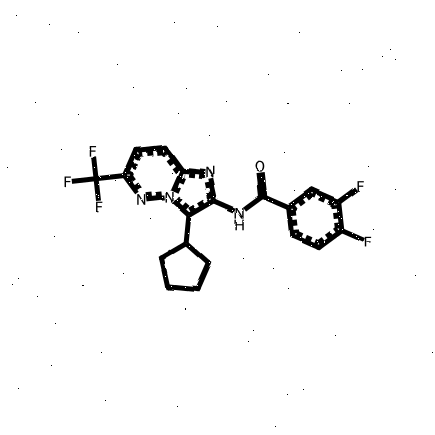 O=C(Nc1nc2ccc(C(F)(F)F)nn2c1C1CCCC1)c1ccc(F)c(F)c1